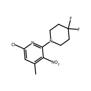 Cc1cc(Cl)nc(N2CCC(F)(F)CC2)c1[N+](=O)[O-]